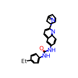 CCc1ccc(NC(=O)Nc2ccc3nc(N4CC5CCC4CC5)ccc3c2)cc1